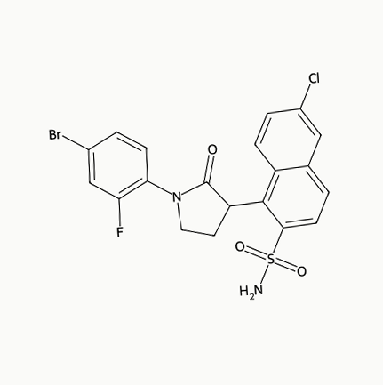 NS(=O)(=O)c1ccc2cc(Cl)ccc2c1C1CCN(c2ccc(Br)cc2F)C1=O